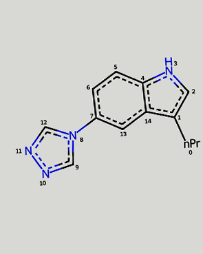 CCCc1c[nH]c2ccc(-n3cnnc3)cc12